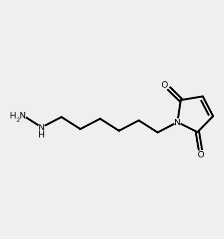 NNCCCCCCN1C(=O)C=CC1=O